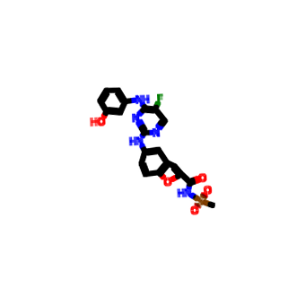 CS(=O)(=O)NC(=O)c1cc2cc(Nc3ncc(F)c(Nc4cccc(O)c4)n3)ccc2o1